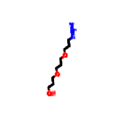 [N-]=[N+]=NCCCOCCCOCCCO